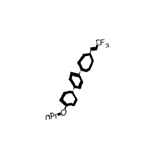 CCCO[C@H]1CC[C@H](c2ccc([C@H]3CC[C@H](C=CC(F)(F)F)CC3)cc2)CC1